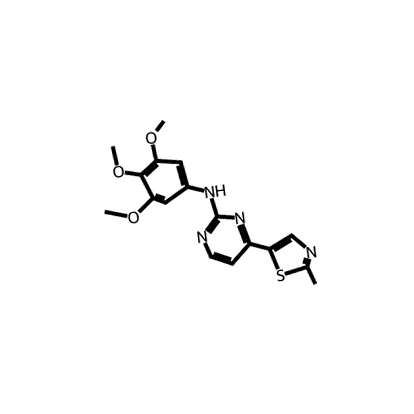 COc1cc(Nc2nccc(-c3cnc(C)s3)n2)cc(OC)c1OC